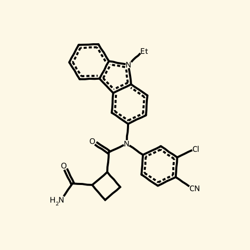 CCn1c2ccccc2c2cc(N(C(=O)C3CCC3C(N)=O)c3ccc(C#N)c(Cl)c3)ccc21